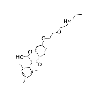 CCCNCCOCCO[C@H]1CC[C@H](C(=O)C(C(=O)O)c2c(C)cc(C)cc2C)CC1